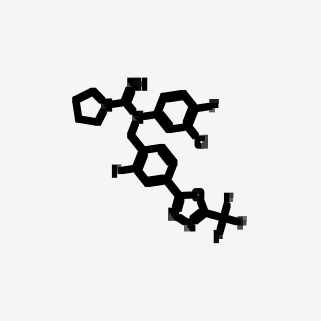 N=C(N1CCCC1)N(Cc1ccc(-c2nnc(C(F)(F)F)o2)cc1F)c1ccc(F)c(Cl)c1